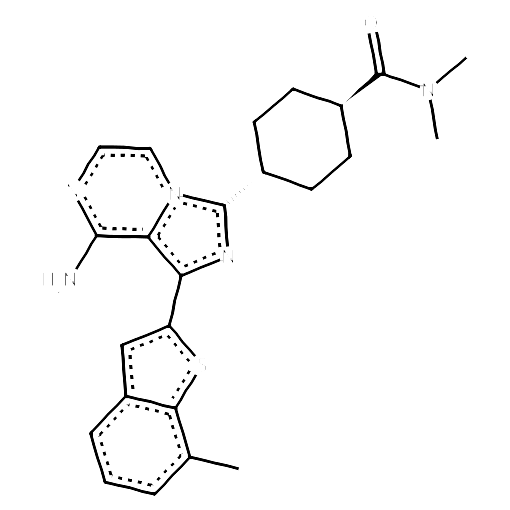 Cc1cccc2cc(-c3nc([C@H]4CC[C@H](C(=O)N(C)C)CC4)n4ccnc(N)c34)sc12